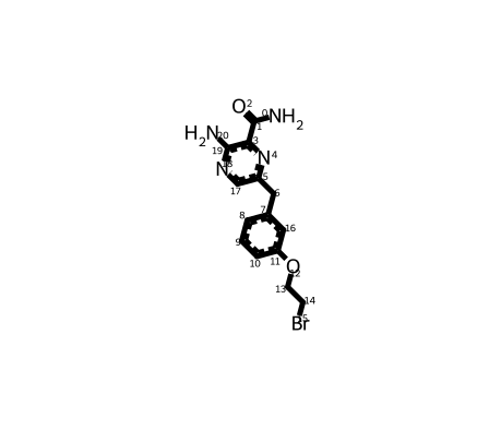 NC(=O)c1nc(Cc2cccc(OCCBr)c2)cnc1N